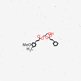 COc1cc(/C=C/C(=O)OCC(CO)OC(=O)/C=C/c2ccccc2)ccc1C